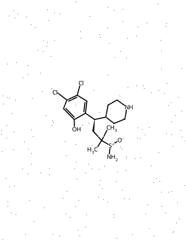 CC(C)(C[C@@H](c1cc(Cl)c(Cl)cc1O)C1CCNCC1)[S+](N)[O-]